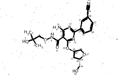 CC(C)(O)CONC(=O)c1c(N)nc(-c2cccc(C#N)c2)nc1O[C@H]1CO[C@H](CO)C1